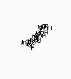 NC(C(=O)Nc1nc(Cl)nc2c1ncn2[C@@H]1O[C@H](COP(=O)(O)CP(=O)(O)O)C(O)C1O)C12CC3C[C@H](C1)C[C@@](O)(C3)C2